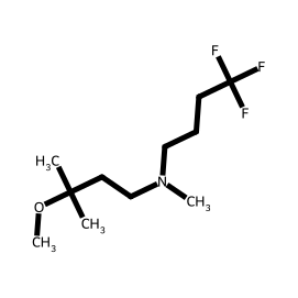 COC(C)(C)CCN(C)CCCC(F)(F)F